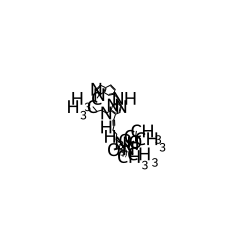 CCCNc1nc(Nc2ccc3cnn(C)c3c2)ncc1C#CCCCNC(=O)[C@H](C)N(C)C(=O)OC(C)(C)C